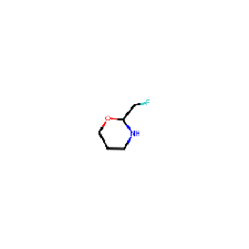 FCC1NCCCO1